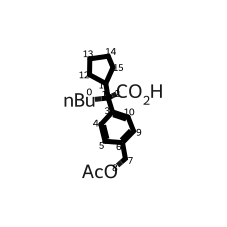 CCCCC(C(=O)O)(c1ccc(COC(C)=O)cc1)C1CCCC1